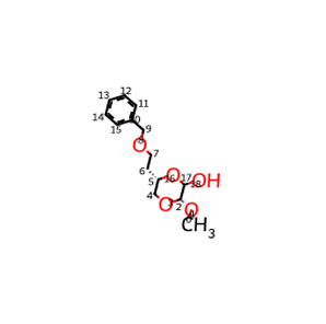 CO[C@@H]1OC[C@H](CCOCc2ccccc2)OC1O